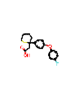 O=C(O)CC1(c2ccc(Oc3ccc(F)cc3)cc2)CCCCS1